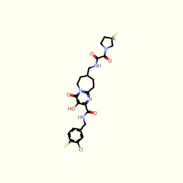 O=C(NCC1CCc2nc(C(=O)NCc3ccc(F)c(Cl)c3)c(O)c(=O)n2CC1)C(=O)N1CC[C@@H](F)C1